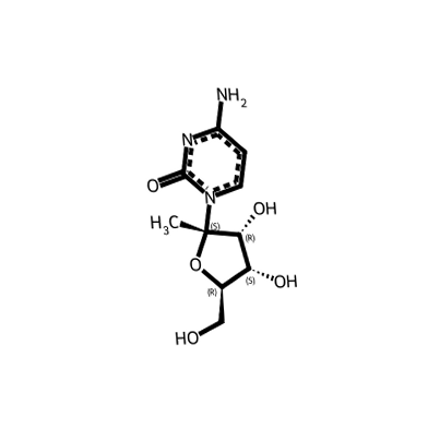 C[C@]1(n2ccc(N)nc2=O)O[C@H](CO)[C@@H](O)[C@H]1O